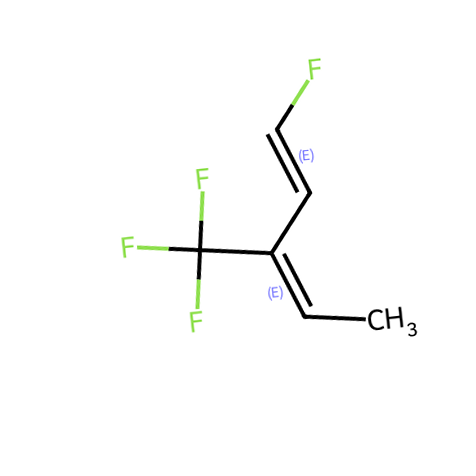 C/C=C(\C=C\F)C(F)(F)F